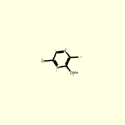 COc1nc(Cl)cnc1I